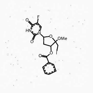 COC1(CI)OC(n2cc(F)c(=O)[nH]c2=O)CC1OC(=O)c1ccccc1